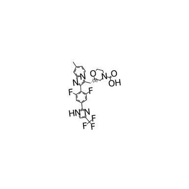 Cc1ccn2c(C[C@H]3CN(C(=O)O)CCO3)c(-c3c(F)cc(-c4nc(C(F)(F)F)c[nH]4)cc3F)nc2c1